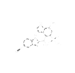 Cc1cc(S(C)(=O)=O)c(C(O)c2nc3cc(C#N)ccc3[nH]2)c2cc[nH]c12